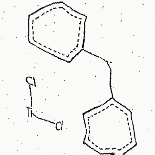 [CH](c1ccccc1)c1ccccc1.[Cl][Ti][Cl]